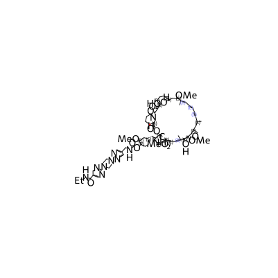 CCNC(=O)c1cnc(N2CCN(c3ncc(CNC(=O)O[C@@H]4CC[C@@H](C[C@@H](N)[C@@H]5C[C@@H](OC)[C@H](C)/C=C(\C)[C@@H](O)[C@@H](OC)C(=O)[C@H](C)C[C@H](C)/C=C/C=C/C=C(\C)[C@@H](OC)C[C@@H]6CC[C@@H](C)[C@@](O)(O6)C(=O)C(=O)N6CCCC[C@H]6C(=O)O5)C[C@H]4OC)cn3)CC2)nc1